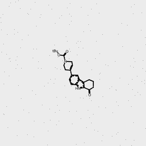 CC(C)(C)OC(=O)N1CC=C(c2ccc3[nH]c4c(c3c2)CCCC4=O)CC1